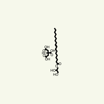 CCCCCCCCC=CCCCCCCCC(=O)OCC(O)CO.O=C(O)CC(O)(CC(=O)O)C(=O)O